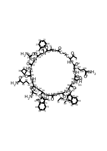 CC(=O)C1CSCC(=O)N[C@H](C)C(=O)N(C)[C@@H](Cc2ccccc2)C(=O)N[C@@H](CC(N)=O)C(=O)N[C@@H](C2CCC2)C(=O)N[C@@H](CCCC(N)=O)C(=O)N(C)[C@@H](CC(N)=O)C(=O)N[C@@H](Cc2cn(C)c3ccccc23)C(=O)N[C@@H](C(C)C)C(=O)N[C@@H](Cc2cn(C)c3ccccc23)C(=O)N[C@@H]([C@@H](C)O)C(=O)N[C@@H](CCCC(N)=O)C(=O)N1